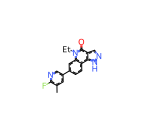 CCn1c(=O)c2cn[nH]c2c2ccc(-c3cnc(F)c(C)c3)cc21